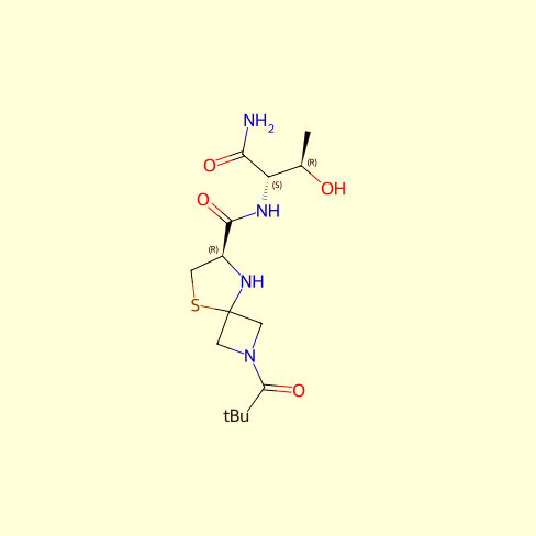 C[C@@H](O)[C@H](NC(=O)[C@@H]1CSC2(CN(C(=O)C(C)(C)C)C2)N1)C(N)=O